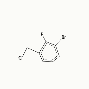 Fc1c(Br)cccc1CCl